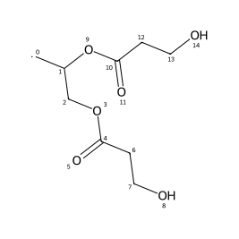 [CH2]C(COC(=O)CCO)OC(=O)CCO